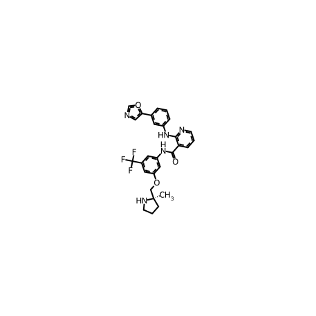 C[C@]1(COc2cc(NC(=O)c3cccnc3Nc3cccc(-c4cnco4)c3)cc(C(F)(F)F)c2)CCCN1